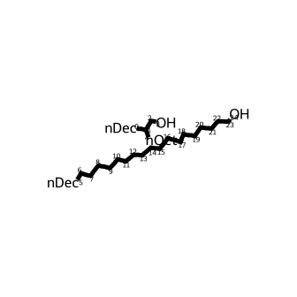 CCCCCCCCCCC(CO)CCCCCCCC.CCCCCCCCCCCCCCCCCCCCCCCCCCCCO